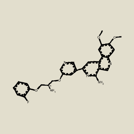 COc1cc2ncc3c(N)nc(-c4cncc(OC[C@@H](N)COc5ccccc5F)c4)cc3c2cc1OC